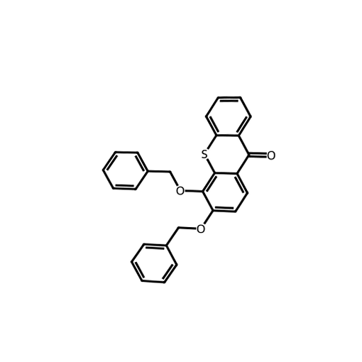 O=c1c2ccccc2sc2c(OCc3ccccc3)c(OCc3ccccc3)ccc12